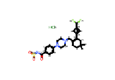 CC1(C)CCC(CN2CCN(c3ccc(C(=O)N=S(=O)=O)cc3)CC2)=C(C23CC(C(F)F)(C2)C3)C1.Cl